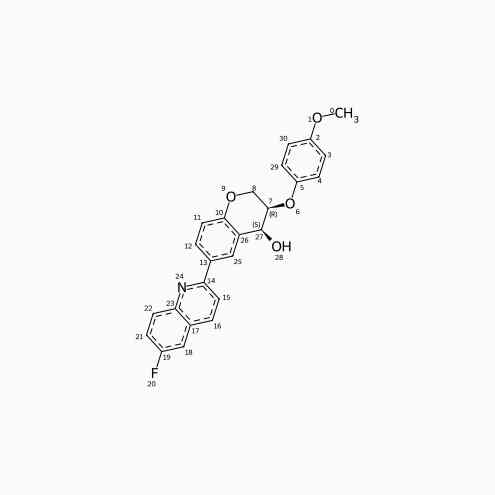 COc1ccc(O[C@@H]2COc3ccc(-c4ccc5cc(F)ccc5n4)cc3[C@@H]2O)cc1